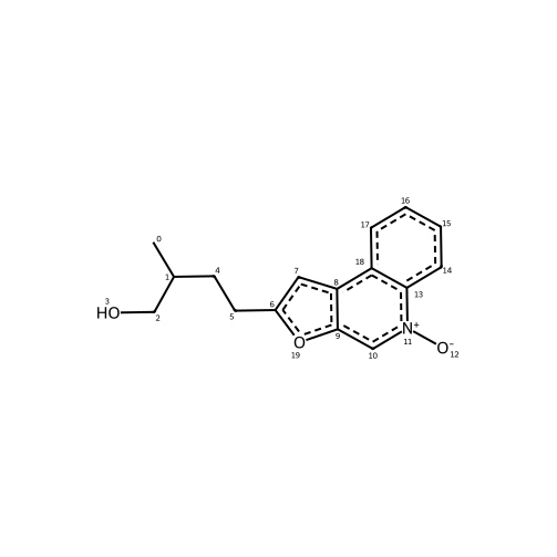 CC(CO)CCc1cc2c(c[n+]([O-])c3ccccc23)o1